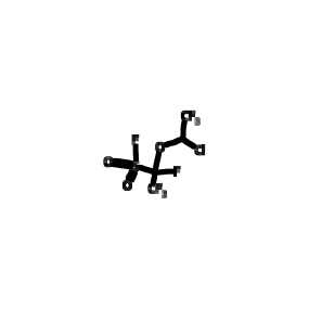 O=S(=O)(F)C(F)(OC(Cl)C(F)(F)F)C(F)(F)F